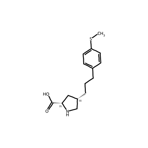 CSc1ccc(CCC[C@@H]2CN[C@H](C(=O)O)C2)cc1